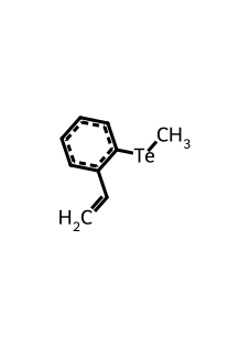 C=Cc1ccccc1[Te]C